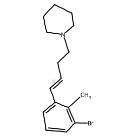 Cc1c(Br)cccc1/C=C/CCN1CCCCC1